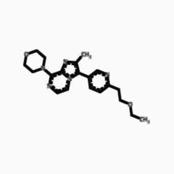 CCOCCc1ccc(-c2c(C)nc3c(N4CCOCC4)nccn23)cn1